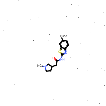 COc1ccc2nc(NC(=O)CC3CCN(C#N)C3)sc2c1